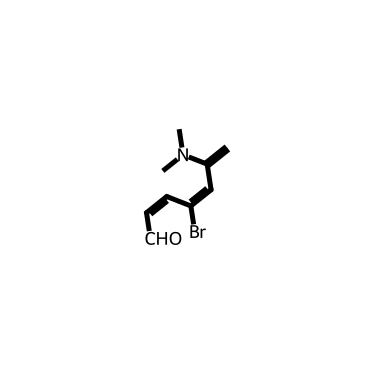 C=C(/C=C(Br)\C=C/C=O)N(C)C